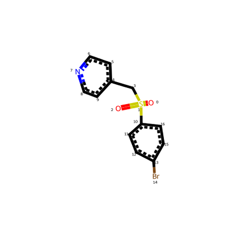 O=S(=O)(Cc1ccncc1)c1ccc(Br)cc1